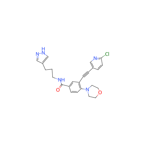 O=C(NCCCc1cn[nH]c1)c1ccc(N2CCOCC2)c(C#Cc2ccc(Cl)nc2)c1